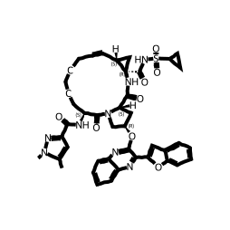 Cc1cc(C(=O)N[C@H]2CCCCCC=C[C@@H]3C[C@@]3(C(=O)NS(=O)(=O)C3CC3)NC(=O)[C@@H]3C[C@@H](Oc4nc5ccccc5nc4-c4cc5ccccc5o4)CN3C2=O)nn1C